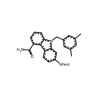 CCCCCc1c[c]c2c3c(C(N)=O)cccc3n(Cc3cc(C)cc(C)c3)c2c1